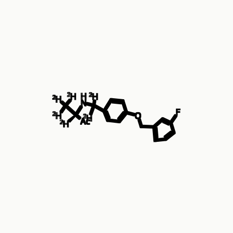 [2H]C([2H])(N[C@]([2H])(C(C)=O)C([2H])([2H])[2H])c1ccc(OCc2cccc(F)c2)cc1